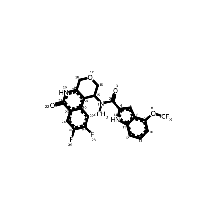 CN(C(=O)c1cc2c(OC(F)(F)F)cccc2[nH]1)C1COCc2[nH]c(=O)c3cc(F)c(F)cc3c21